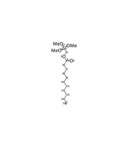 CO[Si](COC(=O)CCCCCCCCCF)(OC)OC